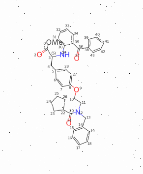 COC(=O)[C@H](Cc1ccc(OCCN(Cc2ccccc2)C(=O)C2CCCC2)cc1)Nc1ccccc1C(=O)c1ccccc1